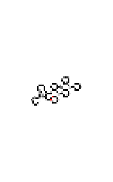 c1ccc(N2c3ccccc3B3c4cccc(-c5cccc6c5c5ccccc5n6-c5ccccc5)c4N(c4ccccc4)c4cccc2c43)cc1